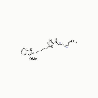 C=C/C=C\C=C\Nc1nnc(CCCCCN2Sc3ccccc3C2OC)s1